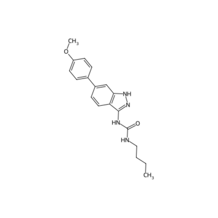 CCCCNC(=O)Nc1n[nH]c2cc(-c3ccc(OC)cc3)ccc12